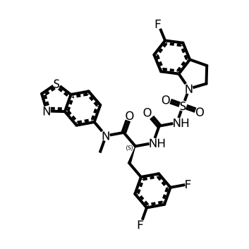 CN(C(=O)[C@H](Cc1cc(F)cc(F)c1)NC(=O)NS(=O)(=O)N1CCc2cc(F)ccc21)c1ccc2scnc2c1